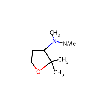 CNN(C)C1CCOC1(C)C